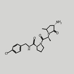 CC1C[C@H](N)C(=O)N1[C@@H](C)C(=O)N1CCC[C@H]1C(=O)NCc1ccc(Cl)cc1